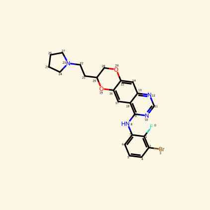 Fc1c(Br)cccc1Nc1ncnc2cc3c(cc12)OC(CCN1CCCC1)CO3